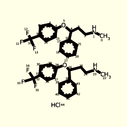 CNCCC(Oc1ccc(C(F)(F)F)cc1)c1ccccc1.CNCCC(Oc1ccc(C(F)(F)F)cc1)c1ccccc1.Cl